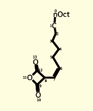 CCCCCCCCCCCCC/C=C\C1C(=O)OC1=O